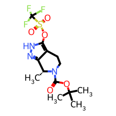 C[C@@H]1c2n[nH]c(OS(=O)(=O)C(F)(F)F)c2CCN1C(=O)OC(C)(C)C